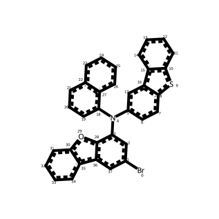 Brc1cc(N(c2ccc3sc4ccccc4c3c2)c2cccc3ccccc23)c2oc3ccccc3c2c1